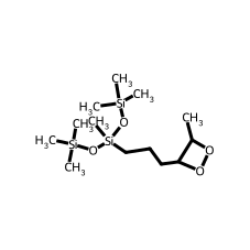 CC1OOC1CCC[Si](C)(O[Si](C)(C)C)O[Si](C)(C)C